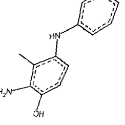 Cc1c(Nc2ccccc2)ccc(O)c1N